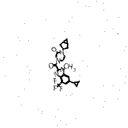 Cn1c(C(=O)N2CCN(C3CC4CC4C3)C(=O)C2)nc2c(C(F)(F)F)cc(C3CC3)cc21